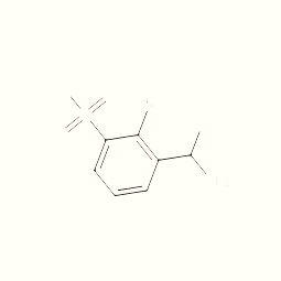 CC(C)c1cccc(S(=O)(=O)O)c1N